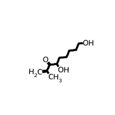 C=C(C)C(=O)C(O)CCCCCO